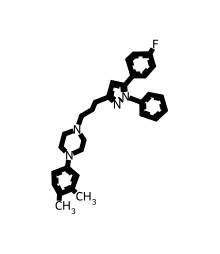 Cc1ccc(N2CCN(CCCc3cc(-c4ccc(F)cc4)n(-c4ccccc4)n3)CC2)cc1C